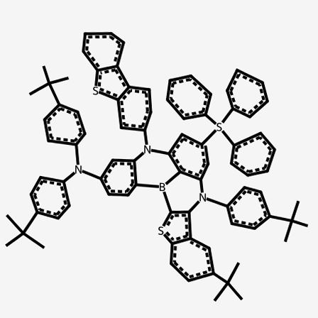 CC(C)(C)c1ccc(N(c2ccc(C(C)(C)C)cc2)c2ccc3c(c2)N(c2ccc4c(c2)sc2ccccc24)c2cc(S(c4ccccc4)(c4ccccc4)c4ccccc4)cc4c2B3c2sc3ccc(C(C)(C)C)cc3c2N4c2ccc(C(C)(C)C)cc2)cc1